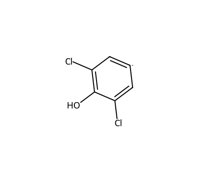 Oc1c(Cl)c[c]cc1Cl